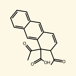 CC(=O)C1C=Cc2cc3ccccc3cc2C1(C(C)=O)C(=O)O